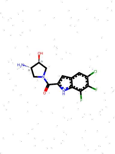 N[C@H]1CN(C(=O)c2cc3cc(Cl)c(F)c(F)c3[nH]2)C[C@@H]1O